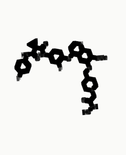 COc1cc2nccc(Oc3ccc(NC(=O)C4(C(=O)Nc5ccc(F)cc5)CC4)cc3F)c2cc1OCC1CCN(CC(=O)NO)CC1